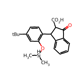 C[SiH](C)Oc1cc(C(C)(C)C)ccc1C1c2ccccc2C(=O)C1C(=O)O